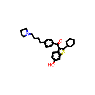 O=C(c1ccc(CCCCN2CCCC2)cc1)c1c(C2CCCCC2)sc2cc(O)ccc12